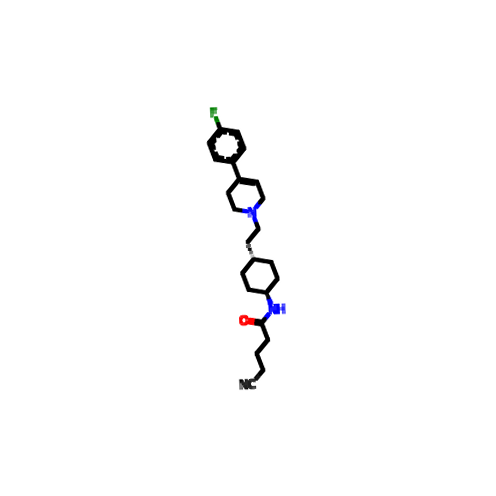 N#CCCCC(=O)N[C@H]1CC[C@H](CCN2CC=C(c3ccc(F)cc3)CC2)CC1